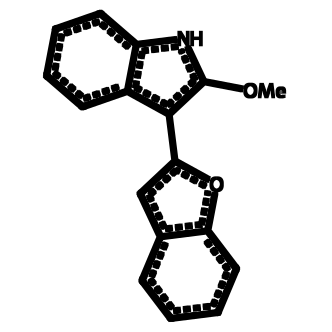 COc1[nH]c2ccccc2c1-c1cc2ccccc2o1